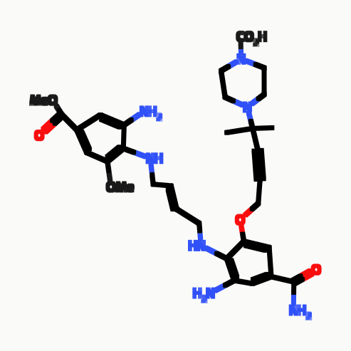 COC(=O)c1cc(N)c(NC/C=C/CNc2c(N)cc(C(N)=O)cc2OCC#CC(C)(C)N2CCN(C(=O)O)CC2)c(OC)c1